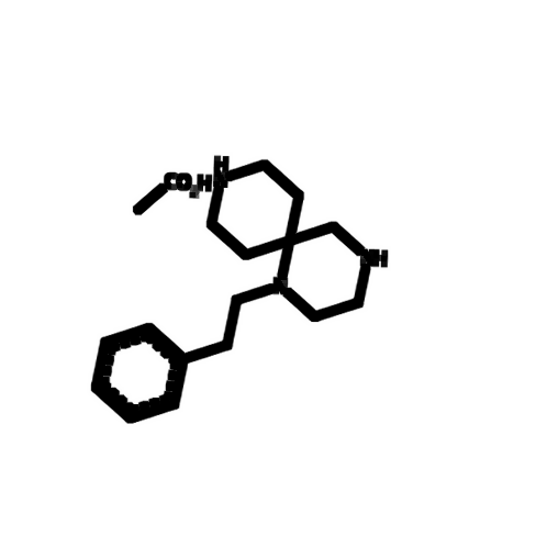 CC(=O)O.c1ccc(CCN2CCNCC23CCNCC3)cc1